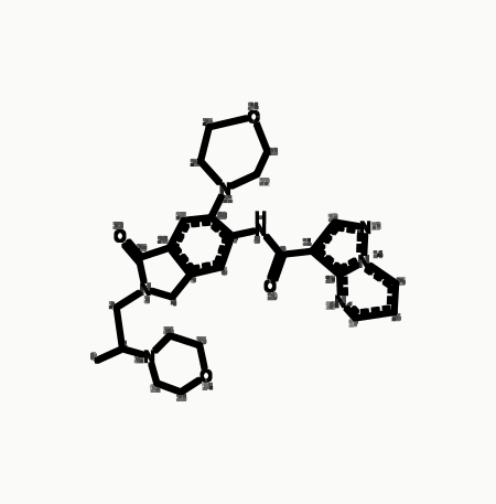 CC(CN1Cc2cc(NC(=O)c3cnn4cccnc34)c(N3CCOCC3)cc2C1=O)N1CCOCC1